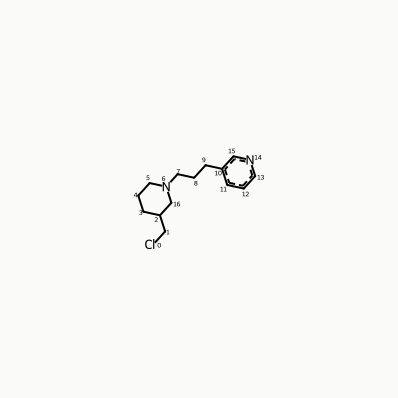 ClCC1CCCN(CCCc2cccnc2)C1